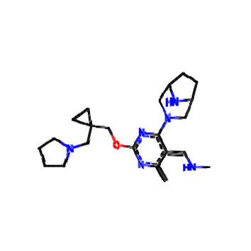 C=c1nc(OCC2(CN3CCCC3)CC2)nc(N2CC3CCC(C2)N3)/c1=C/NC